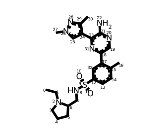 CCN1CCCC1CNS(=O)(=O)c1ccc(C)c(-c2cnc(N)c(-c3cn(C)nc3C)n2)c1